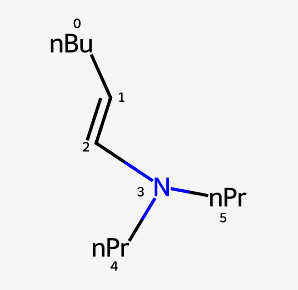 CCCCC=CN(CCC)CCC